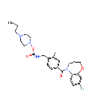 Cc1cc(C(=O)N2CCCOc3cc(Cl)ccc32)ccc1CNC(=O)ON1CCN(CCC(C)(C)C)CC1